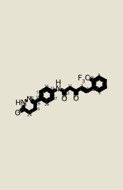 O=C(C=Cc1ccccc1C(F)(F)F)CC(=O)Nc1ccc(C2=NNC(=O)CC2)cc1